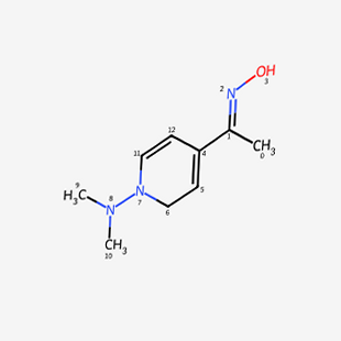 CC(=NO)C1=CCN(N(C)C)C=C1